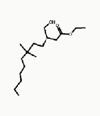 CCCCCCC(C)(C)CC[C@@H](CO)CC(=O)OCC